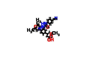 COCC(CC(=O)O)c1ccc(N2C[C@@H](C)O[C@@H](C)C2)c(NC(=O)Nc2ccc(C#N)cc2)c1